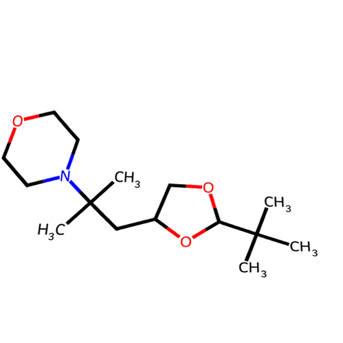 CC(C)(C)C1OCC(CC(C)(C)N2CCOCC2)O1